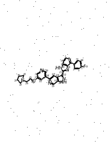 Fc1ccc(-c2nccc3[nH]c(-c4n[nH]c5cnc(-c6cncc(OCCN7CCCC7)c6)cc45)nc23)cc1